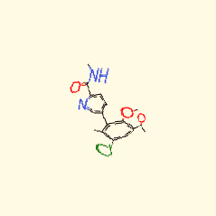 CNC(=O)c1ccc(-c2c(C)c(Cl)cc(C(C)=O)c2OC)cn1